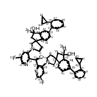 [2H]C1(O)CC2(CCN(c3cc(F)cnc3C(=O)c3ncc(F)cc3N3CCC4(C3)CC([2H])(O)c3cc(-c5ccccc5C5CC5)ccc34)C2)c2ccc(-c3ccccc3C3CC3)cc21